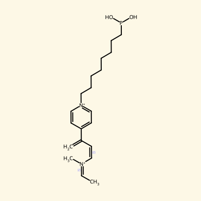 C=C(/C=C\[N+](C)=C/C)c1cc[n+](CCCCCCCCP(O)O)cc1